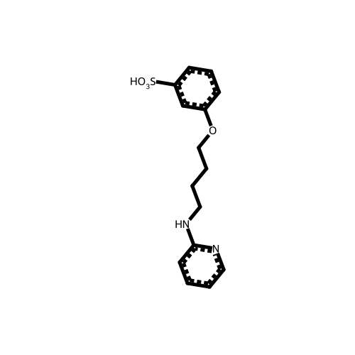 O=S(=O)(O)c1cccc(OCCCCNc2ccccn2)c1